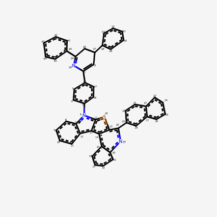 C1=C(c2ccc(-n3c4ccccc4c4c5c(sc43)c(-c3ccc4ccccc4c3)nc3ccccc35)cc2)N=C(c2ccccc2)CC1c1ccccc1